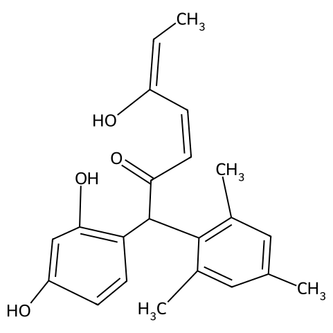 C/C=C(O)\C=C/C(=O)C(c1ccc(O)cc1O)c1c(C)cc(C)cc1C